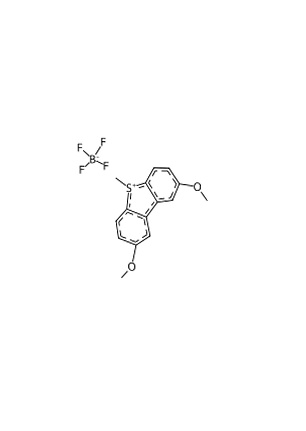 COc1ccc2c(c1)c1cc(OC)ccc1[s+]2C.F[B-](F)(F)F